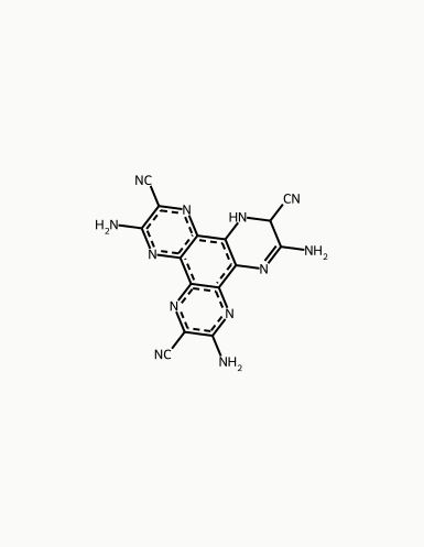 N#Cc1nc2c3c(c4nc(N)c(C#N)nc4c2nc1N)N=C(N)C(C#N)N3